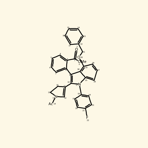 COC(=O)c1ccccc1-c1c(C2=CN(C(C)=O)CC2)n(-c2ccc(F)cc2)c2cccc(OCc3ccccc3)c12